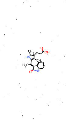 CC(=C1C(=O)Nc2ccccc21)c1[nH]c(C)c(CCC(=O)O)c1C